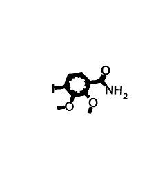 COc1c(I)ccc(C(N)=O)c1OC